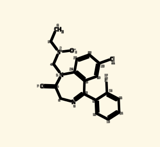 CC[S+]([O-])CN1C(=O)CN=C(c2ccccc2F)c2cc(Cl)ccc21